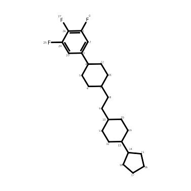 Fc1cc(C2CCC(CCC3CCC(C4CCCC4)CC3)CC2)cc(F)c1F